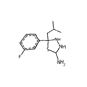 CC(C)CC1(c2cccc(F)c2)NNC(N)S1